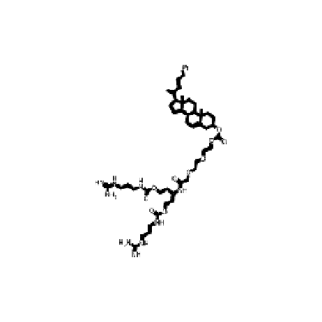 CC(C)CCCC(C)C1CCC2C3CC=C4CC(OC(=O)OCCOCCOCC(=O)NC(CCOC(=O)NCCCNC(=N)N)CCOC(=O)NCCCNC(=N)N)CCC4(C)C3CCC12C